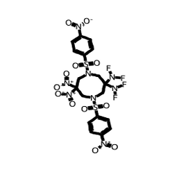 O=[N+]([O-])c1ccc(S(=O)(=O)N2CC(N(F)F)(N(F)F)CN(S(=O)(=O)c3ccc([N+](=O)[O-])cc3)CC([N+](=O)[O-])([N+](=O)[O-])C2)cc1